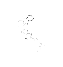 CSNc1ccc(Cl)cc1C(=O)N1CCCCC1C1C=C2N=C(N3CC(NC(C)(C)CO)C3)C(C)=CN2N1